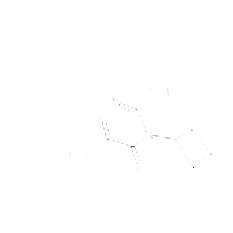 CCOC(=O)c1cnc(O)n(C2CCC2)c1=O